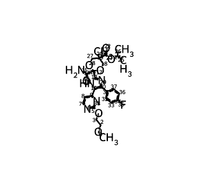 COCCOc1nccc(-c2[nH]c(C3(C(N)=O)OCC(C)(C(=O)OC(C)C)CO3)nc2-c2ccc(F)cc2)n1